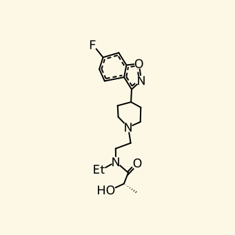 CCN(CCN1CCC(c2noc3cc(F)ccc23)CC1)C(=O)[C@H](C)O